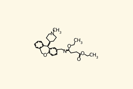 CCOC(=O)CCC(=NCc1ccc2c(c1)C(=C1CCN(C)CC1)c1ccccc1CO2)OCC